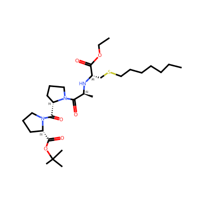 CCCCCCCSC[C@H](N[C@@H](C)C(=O)N1CCC[C@H]1C(=O)N1CCC[C@H]1C(=O)OC(C)(C)C)C(=O)OCC